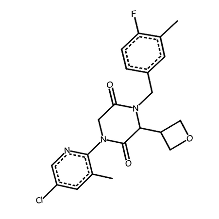 Cc1cc(CN2C(=O)CN(c3ncc(Cl)cc3C)C(=O)C2C2COC2)ccc1F